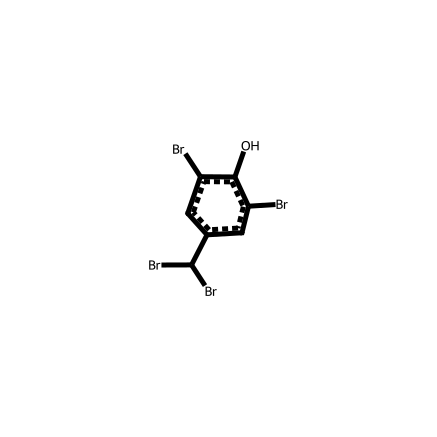 Oc1c(Br)cc(C(Br)Br)cc1Br